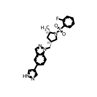 C[C@H]1C[C@@H](Cn2ncc3cc(-c4cn[nH]c4)ccc32)CN1S(=O)(=O)c1ccccc1F